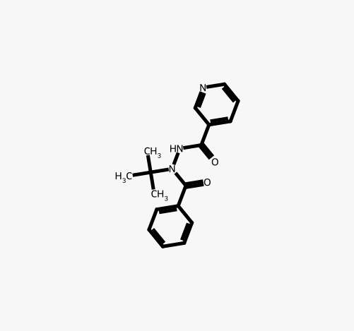 CC(C)(C)N(NC(=O)c1cccnc1)C(=O)c1ccccc1